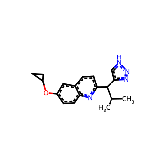 CC(C)C(c1c[nH]nn1)c1ccc2cc(OC3CC3)ccc2n1